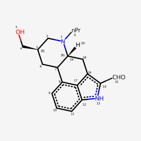 CCCN1C[C@H](CO)CC2c3cccc4[nH]c(C=O)c(c34)C[C@H]21